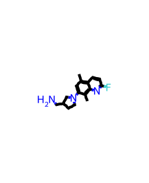 Cc1cc(N2CCC(CN)C2)c(C)c2nc(F)ccc12